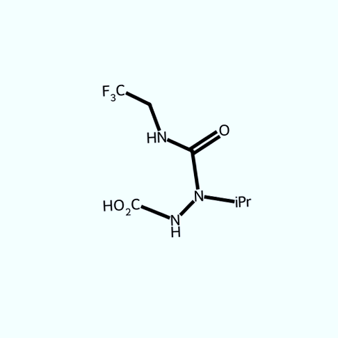 CC(C)N(NC(=O)O)C(=O)NCC(F)(F)F